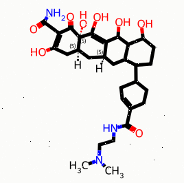 CN(C)CCNC(=O)C1=CCC(C2CCC(O)C3C(O)C4=C(O)[C@]5(O)C(=O)C(C(N)=O)=C(O)C[C@@H]5C[C@@H]4CC23)CC1